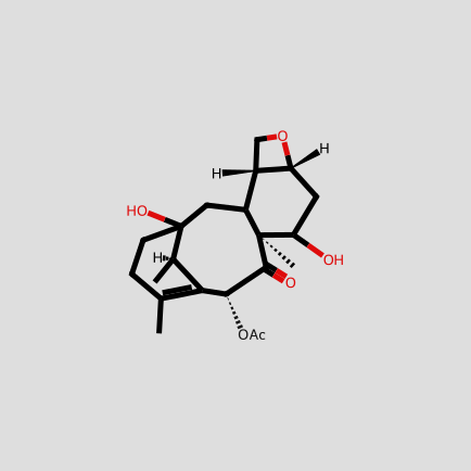 CC(=O)O[C@H]1C(=O)[C@]2(C)C(O)C[C@H]3OC[C@H]3C2CC2(O)CCC(C)=C1[C@H]2C